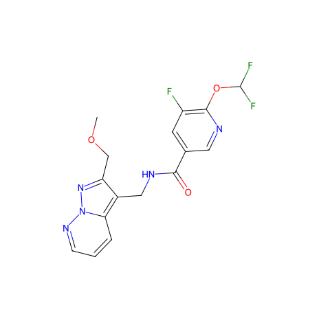 COCc1nn2ncccc2c1CNC(=O)c1cnc(OC(F)F)c(F)c1